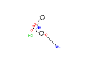 Cl.NCCCCCCOc1ccc(CC(NC(=O)CCc2ccccc2)C(=O)O)cc1